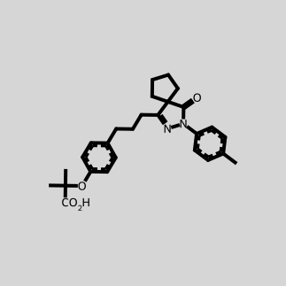 Cc1ccc(N2N=C(CCCc3ccc(OC(C)(C)C(=O)O)cc3)C3(CCCC3)C2=O)cc1